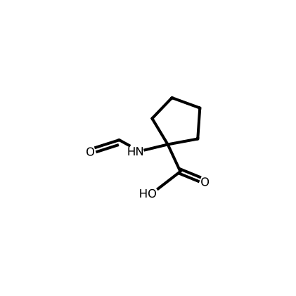 O=CNC1(C(=O)O)CCCC1